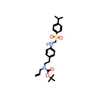 C=CCN(CCc1ccc(NCS(=O)(=O)c2ccc(C(C)C)cc2)cc1)C(=O)OC(C)(C)C